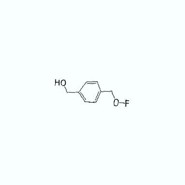 OCc1ccc(COF)cc1